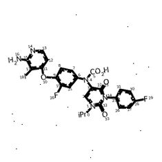 CC(C)n1cc(N(C(=O)O)c2ccc(Oc3ccnc(N)c3I)c(F)c2)c(=O)n(-c2ccc(F)cc2)c1=O